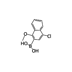 COc1c(B(O)O)cc(Cl)c2ccccc12